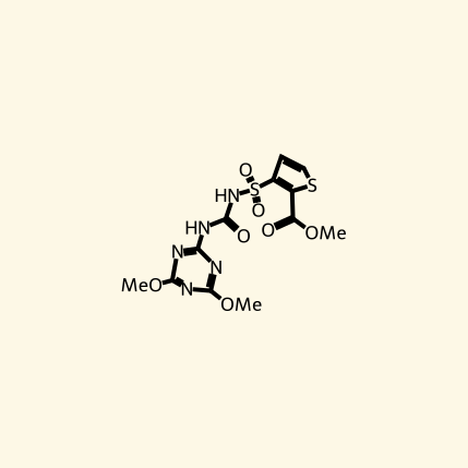 COC(=O)c1sccc1S(=O)(=O)NC(=O)Nc1nc(OC)nc(OC)n1